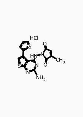 CC1=CC(=O)N(Nc2nc(N)nc3scc(-c4cccs4)c23)C1=O.Cl